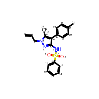 C=CCn1nc(NS(=O)(=O)c2ccccc2)c(-c2ccc(C)cc2)c1C(F)(F)F